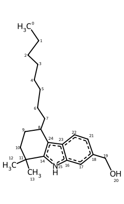 CCCCCCCCC1CCC(C)(C)c2[nH]c3cc(CO)ccc3c21